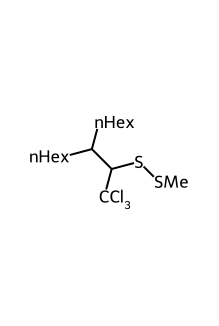 CCCCCCC(CCCCCC)C(SSC)C(Cl)(Cl)Cl